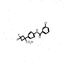 O=C(Nc1ccc(C2(C(=O)O)CC(F)(F)C2)cc1)c1cccc(Cl)c1